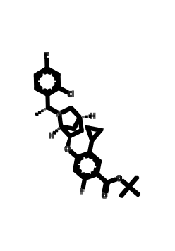 C[C@H](c1ccc(F)cc1Cl)N1C[C@H]2C[C@@H](Oc3cc(F)c(C(=O)OC(C)(C)C)cc3C3CC3)[C@@H]1C2